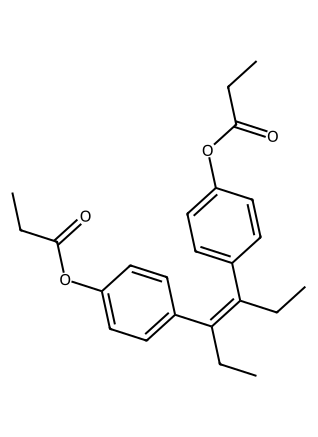 CCC(=O)Oc1ccc(C(CC)=C(CC)c2ccc(OC(=O)CC)cc2)cc1